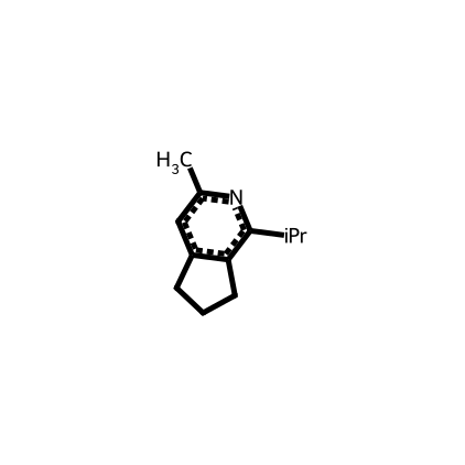 Cc1cc2c(c(C(C)C)n1)CCC2